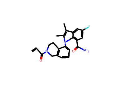 C=CC(=O)N1CCc2c(cccc2-n2c(C)c(C)c3cc(F)cc(C(N)=O)c32)C1